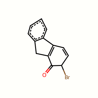 O=C1C2=C(C=CC1Br)c1ccccc1C2